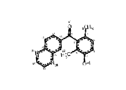 Cc1ccc(O)c(C)c1C(=O)c1ccc2nccnc2c1